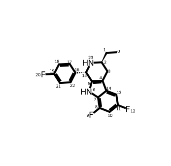 CC[C@H]1Cc2c([nH]c3c(F)cc(F)cc23)[C@H](c2ccc(F)cc2)N1